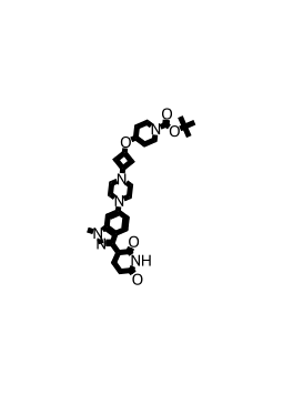 Cn1nc(C2CCC(=O)NC2=O)c2ccc(N3CCN(C4CC(OC5CCN(C(=O)OC(C)(C)C)CC5)C4)CC3)cc21